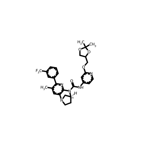 Cc1cc2c(nc1-c1cccc(C(F)(F)F)c1)N(C(=O)Nc1ccnc(OCC3COC(C)(C)O3)c1)[C@H]1CCN2C1